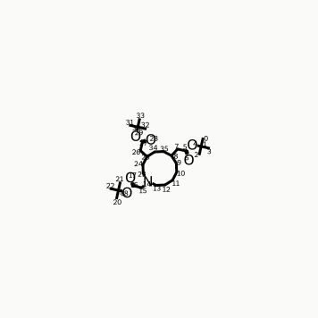 CC(C)(C)OC(=O)CC1CCCCCN(CC(=O)OC(C)(C)C)CCC(CC(=O)OC(C)(C)C)CC1